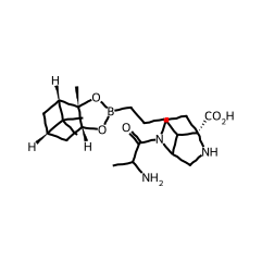 CC(N)C(=O)N1CC[C@@]2(C(=O)O)NCC1C2CCCB1O[C@@H]2C[C@@H]3C[C@@H](C3(C)C)[C@]2(C)O1